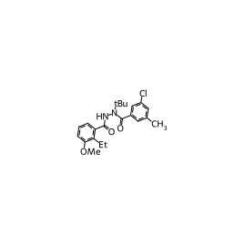 CCc1c(OC)cccc1C(=O)NN(C(=O)c1cc(C)cc(Cl)c1)C(C)(C)C